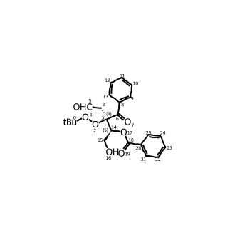 CC(C)(C)OO[C@@](CC=O)(C(=O)c1ccccc1)[C@H](CO)OC(=O)c1ccccc1